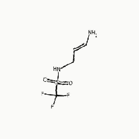 N/C=C/CNS(=O)(=O)C(F)(F)F